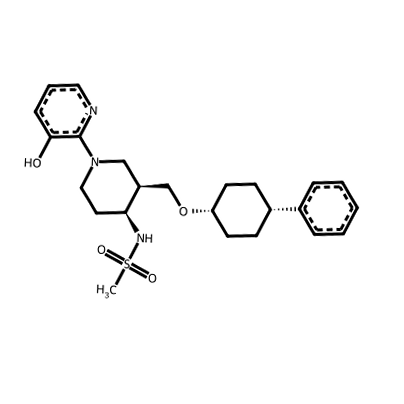 CS(=O)(=O)N[C@H]1CCN(c2ncccc2O)C[C@H]1CO[C@H]1CC[C@@H](c2ccccc2)CC1